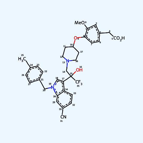 COc1cc(CC(=O)O)ccc1OC1CCN(CC(O)(c2cn(Cc3ccc(C)cc3)c3cc(C#N)ccc23)C(F)(F)F)CC1